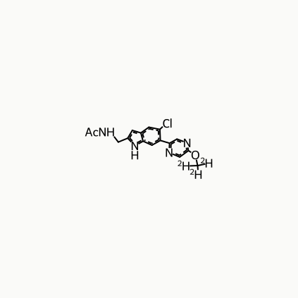 [2H]C([2H])([2H])Oc1cnc(-c2cc3[nH]c(CNC(C)=O)cc3cc2Cl)cn1